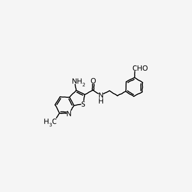 Cc1ccc2c(N)c(C(=O)NCCc3cccc(C=O)c3)sc2n1